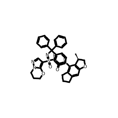 C[C@H]1COc2cc3c(c(NC(=O)NS(=O)(=NC(c4ccccc4)(c4ccccc4)c4ccccc4)c4cnn5c4OCCC5)c21)CCC3